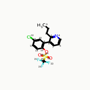 CCCc1ncccc1-c1cc(Cl)ccc1OS(=O)(=O)C(F)(F)F